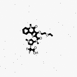 CCOCCOc1c(C(=O)N(C)C2CCN(C)C2)sc2c1c(=O)n(C)c1ccccc21.O=C(O)C(F)(F)F